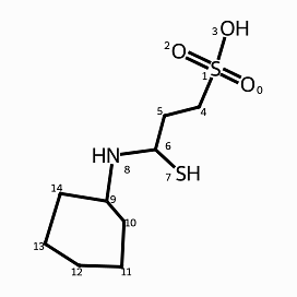 O=S(=O)(O)CCC(S)NC1CCCCC1